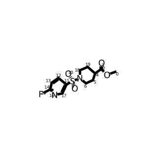 COC(=O)C1CCN(S(=O)(=O)c2ccc(F)nc2)CC1